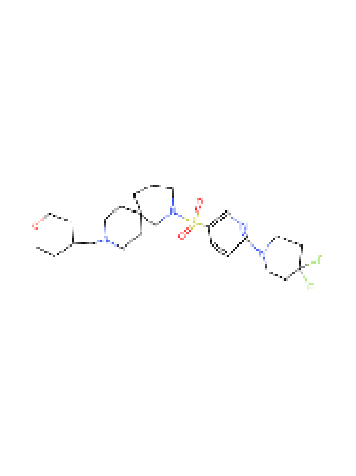 O=S(=O)(c1ccc(N2CCC(F)(F)CC2)nc1)N1CCCC2(CCN(CC3CCOCC3)CC2)C1